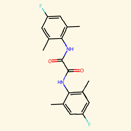 Cc1cc(F)cc(C)c1NC(=O)C(=O)Nc1c(C)cc(F)cc1C